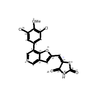 COc1c(Cl)cc(-c2cncc3cc(/C=C4/SC(=O)NC4=O)oc23)cc1Cl